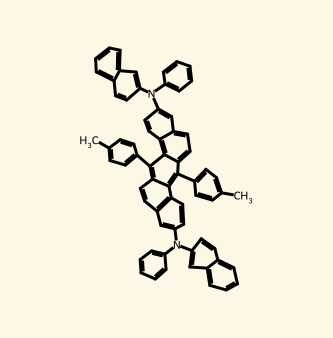 Cc1ccc(-c2c3ccc4cc(N(c5ccccc5)c5ccc6ccccc6c5)ccc4c3c(-c3ccc(C)cc3)c3ccc4cc(N(c5ccccc5)c5ccc6ccccc6c5)ccc4c23)cc1